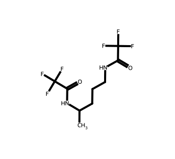 CC(CCCNC(=O)C(F)(F)F)NC(=O)C(F)(F)F